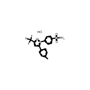 Cc1ccc(-c2cc(C(F)(F)F)nn2-c2ccc(S(N)(=O)=O)cc2)cc1.Cl